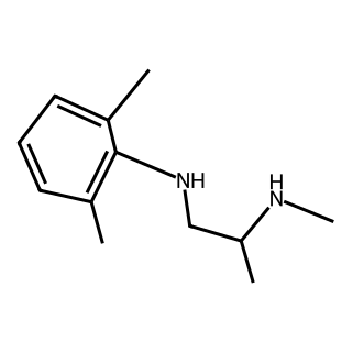 CNC(C)CNc1c(C)cccc1C